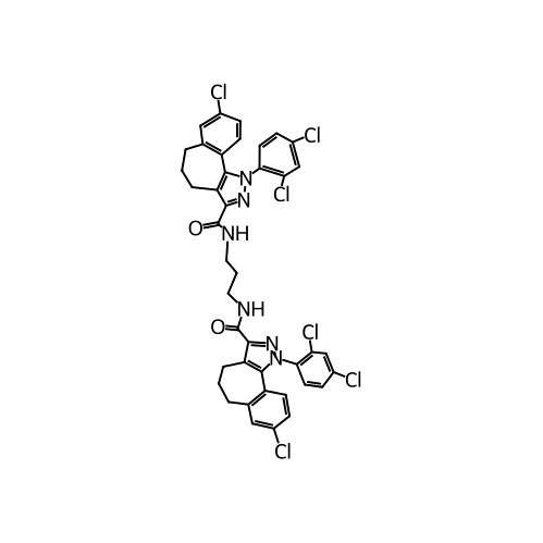 O=C(NCCCNC(=O)c1nn(-c2ccc(Cl)cc2Cl)c2c1CCCc1cc(Cl)ccc1-2)c1nn(-c2ccc(Cl)cc2Cl)c2c1CCCc1cc(Cl)ccc1-2